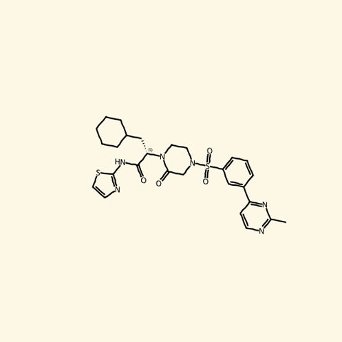 Cc1nccc(-c2cccc(S(=O)(=O)N3CCN([C@@H](CC4CCCCC4)C(=O)Nc4nccs4)C(=O)C3)c2)n1